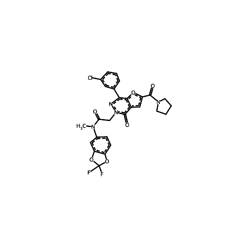 CN(C(=O)Cn1nc(-c2cccc(Cl)c2)c2oc(C(=O)N3CCCC3)cc2c1=O)c1ccc2c(c1)OC(F)(F)O2